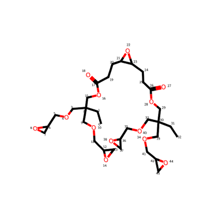 CCC(COCC1CO1)(COCC1CO1)COC(=O)CCC1OC1CCC(=O)OCC(CC)(COCC1CO1)COCC1CO1